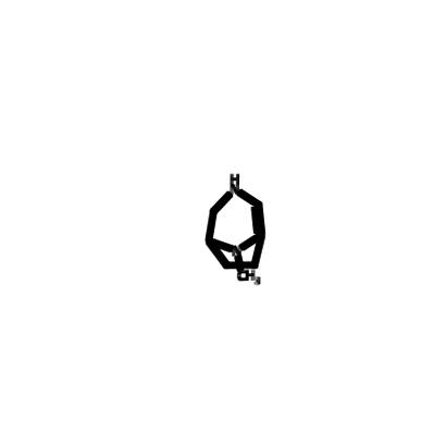 CN1C2=CNCC1CC2